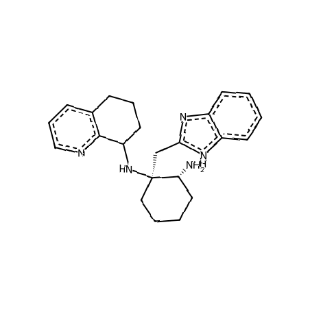 N[C@@H]1CCCC[C@@]1(Cc1nc2ccccc2[nH]1)NC1CCCc2cccnc21